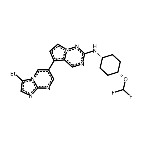 CCc1cnc2ncc(-c3ccn4nc(N[C@H]5CC[C@@H](OC(F)F)CC5)ncc34)cn12